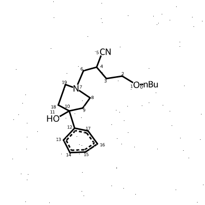 CCCCOCCC(C#N)CN1CCC(O)(c2ccccc2)CC1